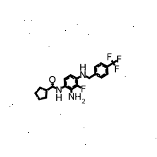 Nc1c(NC(=O)C2CCCC2)ccc(NCc2ccc(C(F)(F)F)cc2)c1F